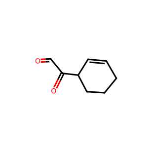 O=CC(=O)C1C=CCCC1